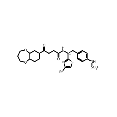 CCc1csc([C@H](Cc2ccc(NS(=O)(=O)O)cc2)NC(=O)CCC(=O)C2CCC3OCCCOC3C2)n1